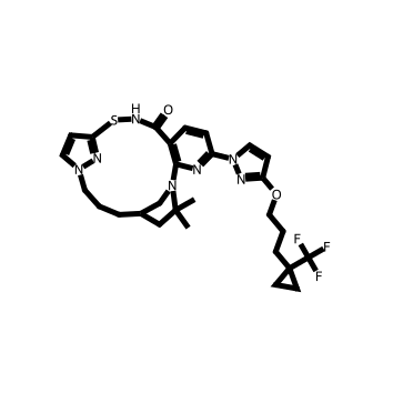 CC1(C)CC2CCCn3ccc(n3)SNC(=O)c3ccc(-n4ccc(OCCCC5(C(F)(F)F)CC5)n4)nc3N1C2